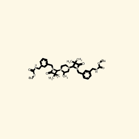 CCC(C)OC(=O)NCc1cccc(CN2C(=O)C(C)(C)C2N2CCN(C3N(Cc4cccc(CNC(=O)OC(C)CC)c4)C(=O)C3(C)C)C(C)C2)c1